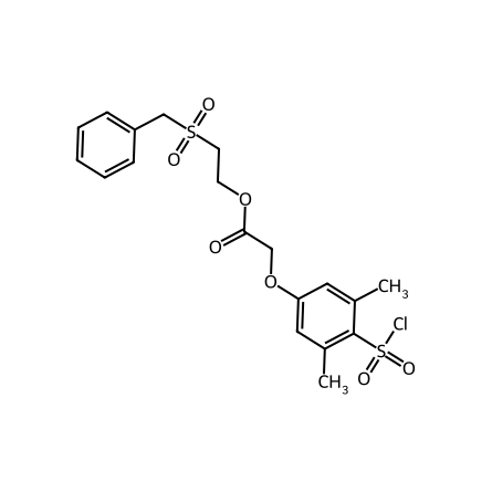 Cc1cc(OCC(=O)OCCS(=O)(=O)Cc2ccccc2)cc(C)c1S(=O)(=O)Cl